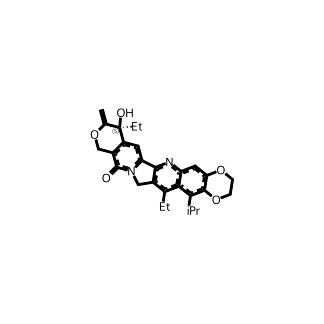 C=C1OCc2c(cc3n(c2=O)Cc2c-3nc3cc4c(c(C(C)C)c3c2CC)OCCO4)[C@@]1(O)CC